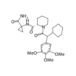 COc1cc(C(C(=O)N2CCCC[C@H]2C(=O)NC2(C(N)=O)CC2)C2CCCCC2)cc(OC)c1OC